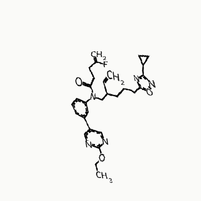 C=CC(CCCc1nc(C2CC2)no1)CN(C(=O)CCC(=C)F)c1cccc(-c2cnc(OCC)nc2)c1